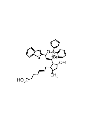 C=C1C[C@@H](O)[C@H](C=CC(O[Si](c2ccccc2)(c2ccccc2)C(C)(C)C)c2cc3ccccc3s2)[C@H]1CC=CCCCC(=O)O